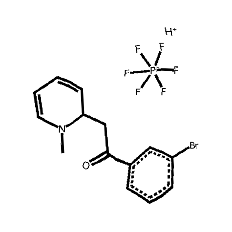 CN1C=CC=CC1CC(=O)c1cccc(Br)c1.F[P-](F)(F)(F)(F)F.[H+]